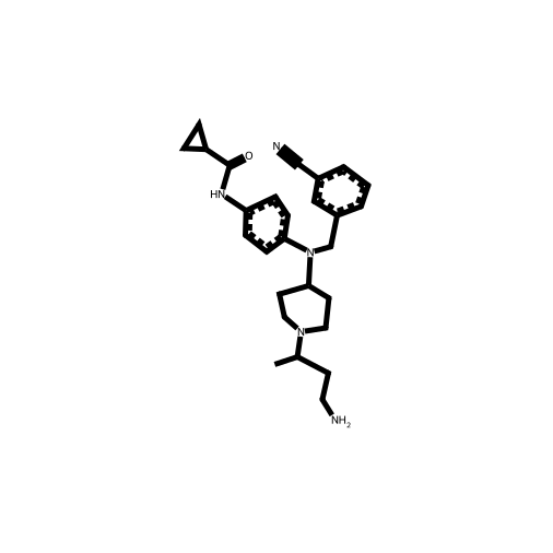 CC(CCN)N1CCC(N(Cc2cccc(C#N)c2)c2ccc(NC(=O)C3CC3)cc2)CC1